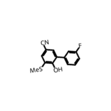 CSc1cc(C#N)cc(-c2cccc(F)c2)c1O